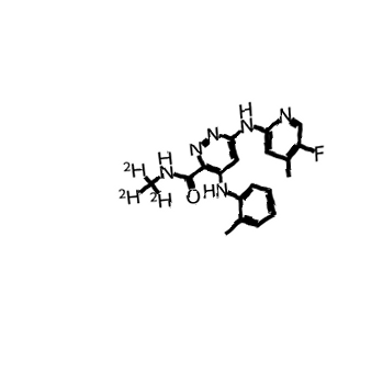 [2H]C([2H])([2H])NC(=O)c1nnc(Nc2cc(C)c(F)cn2)cc1Nc1ccccc1C